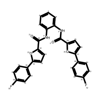 O=C(Nc1ccccc1NC(=O)c1ccc(-c2ccc(F)cc2)o1)c1ccc(-c2ccc(F)cc2)o1